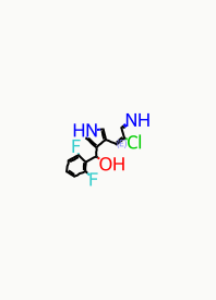 N=C/C(Cl)=C\c1c[nH]cc1C(O)c1c(F)cccc1F